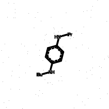 CCC(C)Nc1ccc(NC(C)C)cc1